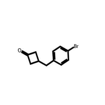 O=C1CC(Cc2ccc(Br)cc2)C1